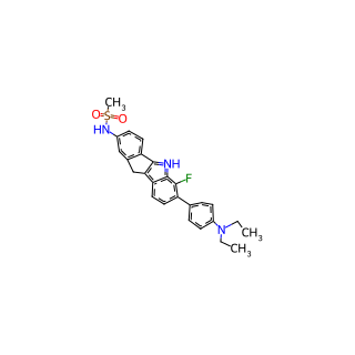 CCN(CC)c1ccc(-c2ccc3c4c([nH]c3c2F)-c2ccc(NS(C)(=O)=O)cc2C4)cc1